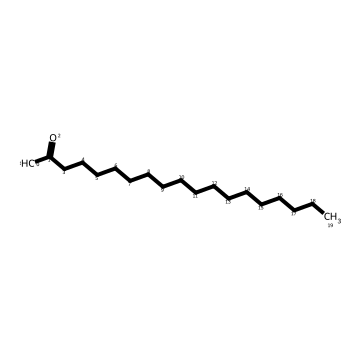 [CH]C(=O)CCCCCCCCCCCCCCCCC